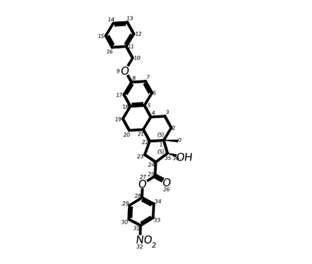 C[C@]12CCC3c4ccc(OCc5ccccc5)cc4CCC3C1CC(C(=O)Oc1ccc([N+](=O)[O-])cc1)[C@@H]2O